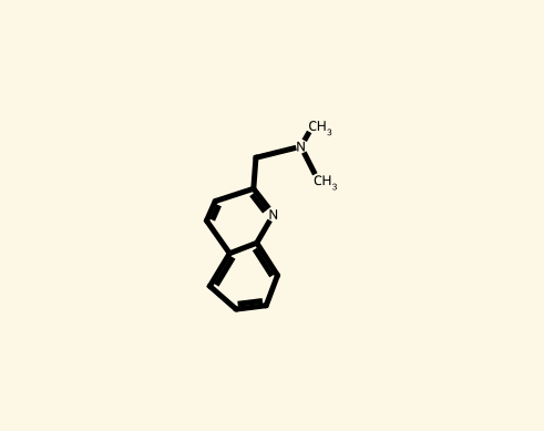 CN(C)Cc1ccc2ccccc2n1